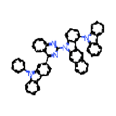 c1ccc(-n2c3ccccc3c3ccc(-c4nc(-n5c6cc7ccccc7cc6c6c(-n7c8ccccc8c8ccccc87)cccc65)nc5ccccc45)cc32)cc1